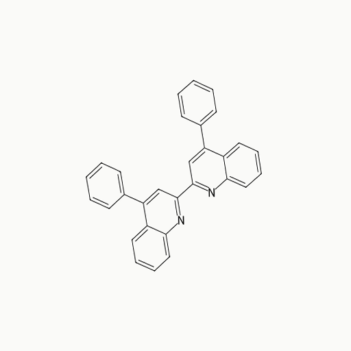 c1ccc(-c2cc(-c3cc(-c4ccccc4)c4ccccc4n3)nc3ccccc23)cc1